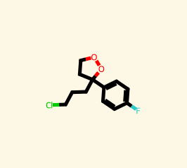 Fc1ccc(C2(CCCCl)CCOO2)cc1